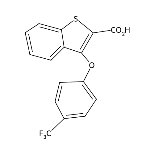 O=C(O)c1sc2ccccc2c1Oc1ccc(C(F)(F)F)cc1